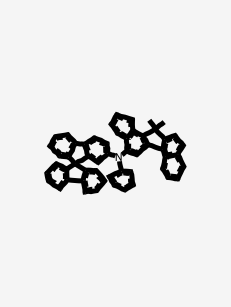 CC1(C)c2ccc3ccccc3c2-c2cc(N(c3ccccc3)c3ccc4c(c3)C3(c5ccccc5-c5ccccc53)c3ccccc3-4)c3ccccc3c21